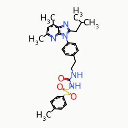 Cc1ccc(S(=O)(=O)NC(=O)NCCc2ccc(-n3c(CC(C)C)nc4c(C)cc(C)nc43)cc2)cc1